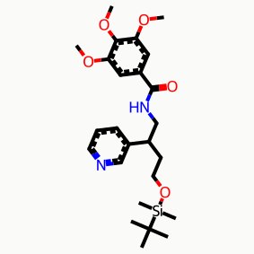 COc1cc(C(=O)NCC(CCO[Si](C)(C)C(C)(C)C)c2cccnc2)cc(OC)c1OC